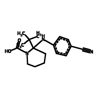 CC(C)(C)C1(Nc2ccc(C#N)cc2)CCCCN1C(=O)O